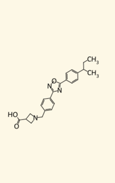 CCC(C)c1ccc(-c2nc(-c3ccc(CN4CC(C(=O)O)C4)cc3)no2)cc1